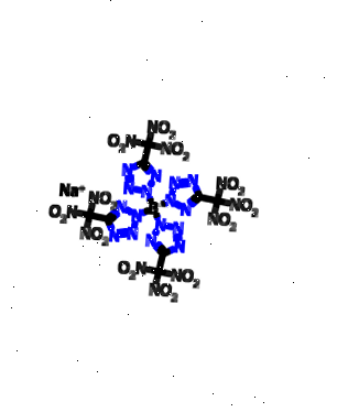 O=[N+]([O-])C(c1nnn([B-](n2nnc(C([N+](=O)[O-])([N+](=O)[O-])[N+](=O)[O-])n2)(n2nnc(C([N+](=O)[O-])([N+](=O)[O-])[N+](=O)[O-])n2)n2nnc(C([N+](=O)[O-])([N+](=O)[O-])[N+](=O)[O-])n2)n1)([N+](=O)[O-])[N+](=O)[O-].[Na+]